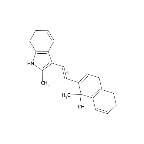 Cc1[nH]c2c(c1/C=C/C1=CCC3=C(C=CCC3)C1(C)C)C=CCC2